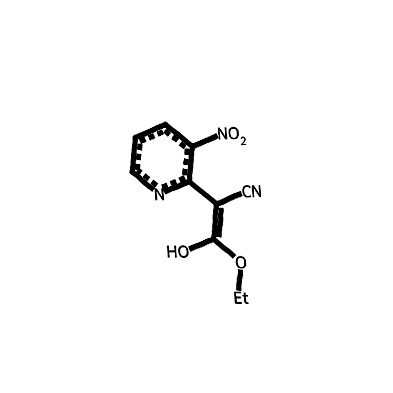 CCO/C(O)=C(\C#N)c1ncccc1[N+](=O)[O-]